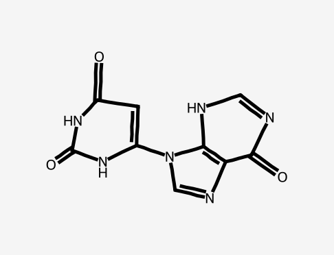 O=c1cc(-n2cnc3c(=O)nc[nH]c32)[nH]c(=O)[nH]1